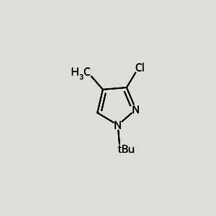 Cc1cn(C(C)(C)C)nc1Cl